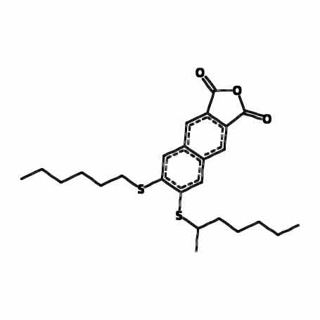 CCCCCCSc1cc2cc3c(cc2cc1SC(C)CCCCC)C(=O)OC3=O